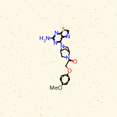 COc1ccc(OCC(=O)N2CC3CC2CN3c2nc(N)nc3scnc23)cc1